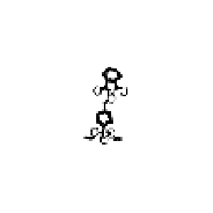 CCOP(=O)(OCC)c1ccc(CON2C(=O)c3ccccc3C2=O)cc1